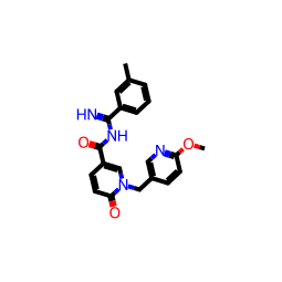 COc1ccc(Cn2cc(C(=O)NC(=N)c3cccc(C)c3)ccc2=O)cn1